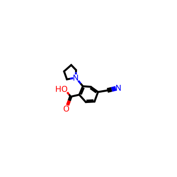 N#Cc1ccc(C(=O)O)c(N2CCCC2)c1